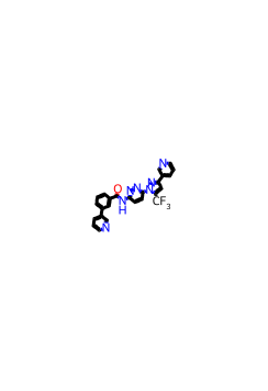 O=C(Nc1ccc(-n2nc(-c3cccnc3)cc2C(F)(F)F)nn1)c1cccc(-c2cccnc2)c1